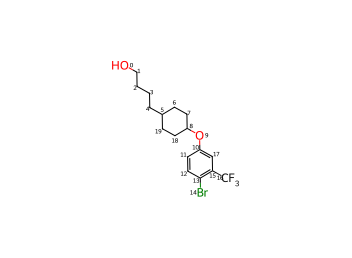 OCCCCC1CCC(Oc2ccc(Br)c(C(F)(F)F)c2)CC1